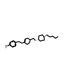 CCCCC[C@H]1CC[C@H](CCC2CC=C(CCc3ccc(F)cc3)CC2)CC1